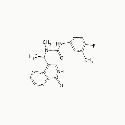 Cc1cc(NC(=O)N(C)[C@H](C)c2c[nH]c(=O)c3ccccc23)ccc1F